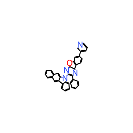 c1ccc(-c2nc3c(nc2-n2c4ccccc4c4cc5ccccc5cc42)oc2cc(-c4cccnc4)ccc23)cc1